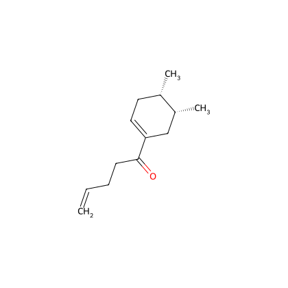 C=CCCC(=O)C1=CC[C@H](C)[C@H](C)C1